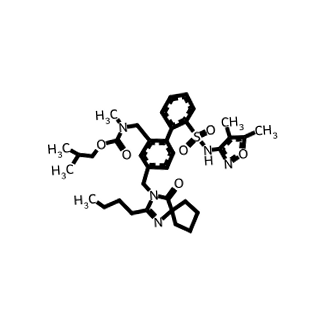 CCCCC1=NC2(CCCC2)C(=O)N1Cc1ccc(-c2ccccc2S(=O)(=O)Nc2noc(C)c2C)c(CN(C)C(=O)OCC(C)C)c1